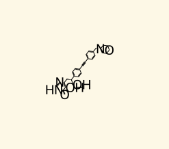 O=c1[nH]cnc(C[C@H](CO)c2ccc(C#Cc3ccc(CN4CCOCC4)cc3)cc2)c1O